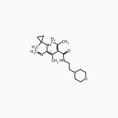 C=N/C(NC1(C)CC1)=C(\C)C(C(=O)NCCN1CCOCC1)=C(C)C